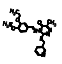 CCOc1cc(C=Nn2c(SCc3cccnc3)nnc(C)c2=O)ccc1OC